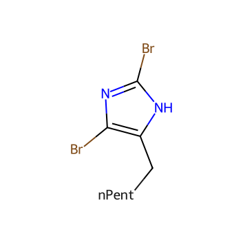 CCCCCCc1[nH]c(Br)nc1Br